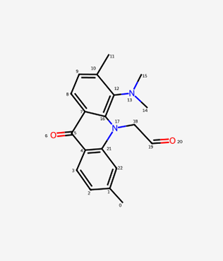 Cc1ccc2c(=O)c3ccc(C)c(N(C)C)c3n(CC=O)c2c1